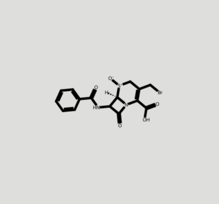 O=C(O)C1=C(CBr)C[S+]([O-])[C@@H]2C(NC(=O)c3ccccc3)C(=O)N12